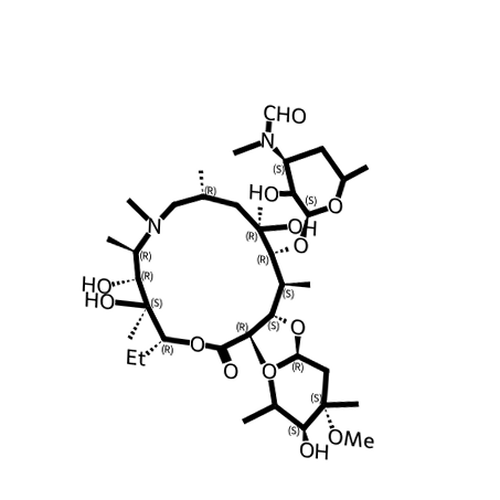 CC[C@H]1OC(=O)[C@H](C)[C@@H](O[C@H]2C[C@](C)(OC)[C@@H](O)C(C)O2)[C@H](C)[C@@H](O[C@@H]2OC(C)C[C@H](N(C)C=O)C2O)[C@](C)(O)C[C@@H](C)CN(C)[C@H](C)[C@@H](O)[C@]1(C)O